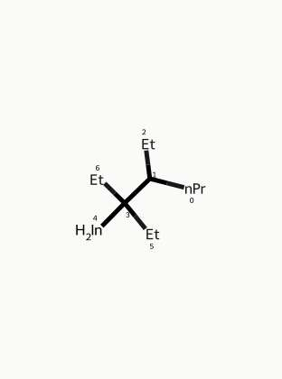 CCCC(CC)[C]([InH2])(CC)CC